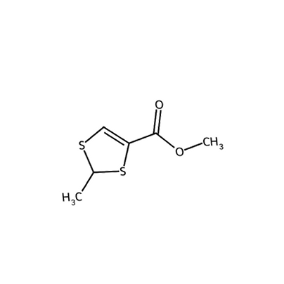 COC(=O)C1=CSC(C)S1